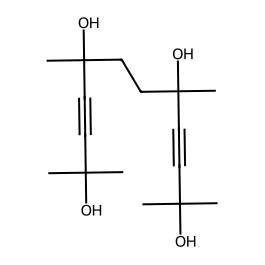 CC(C)(O)C#CC(C)(O)CCC(C)(O)C#CC(C)(C)O